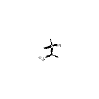 CC(C(=O)O)P(C)(=O)O